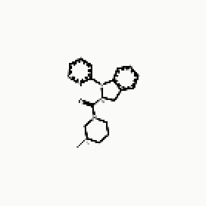 C[C@H]1CCCN(C(=O)[C@@H]2Cc3ccccc3N2c2cccnn2)C1